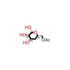 CC(=O)OC[C@@H]1C[C@@H](O)[C@@H](O)[C@H](O)O1